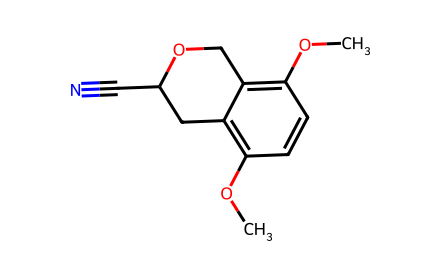 COc1ccc(OC)c2c1COC(C#N)C2